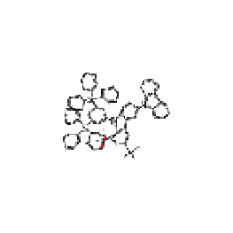 CC(C)(C)c1cc(C(C)(C)C)c2c(c1)c1cc(-n3c4ccccc4c4ccccc43)ccc1n2-c1cc([Si](c2ccccc2)(c2ccccc2)c2ccccc2)cc(S(c2ccccc2)(c2ccccc2)c2ccccc2)c1